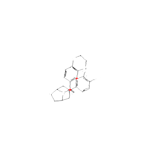 O=C(c1ccc2c(c1)OCCO2)N1C2CCC1CC(c1ccc(F)c(F)c1)C2